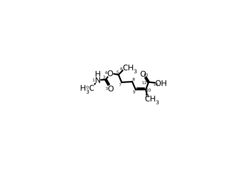 CNC(=O)OC(C)CCC=C(C)C(=O)O